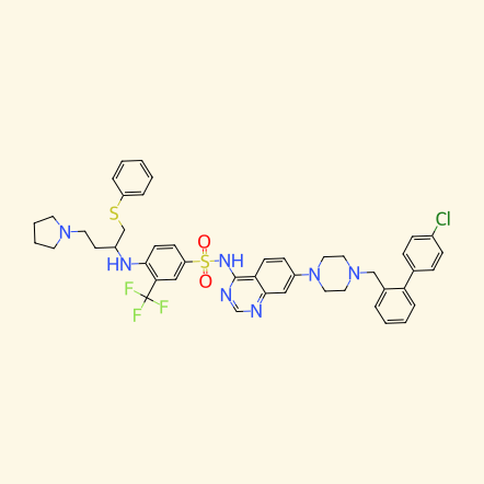 O=S(=O)(Nc1ncnc2cc(N3CCN(Cc4ccccc4-c4ccc(Cl)cc4)CC3)ccc12)c1ccc(NC(CCN2CCCC2)CSc2ccccc2)c(C(F)(F)F)c1